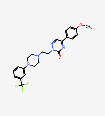 COc1ccc(-c2cnn(CCN3CCN(c4cccc(C(F)(F)F)c4)CC3)c(=O)n2)cc1